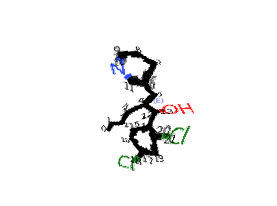 CCCC/C(=C\c1cccnc1)C(O)c1ccc(Cl)cc1Cl